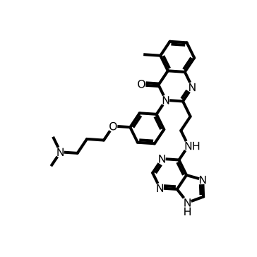 Cc1cccc2nc(CCNc3ncnc4[nH]cnc34)n(-c3cccc(OCCCN(C)C)c3)c(=O)c12